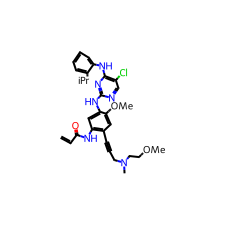 C=CC(=O)Nc1cc(Nc2ncc(Cl)c(Nc3ccccc3C(C)C)n2)c(OC)cc1C#CCN(C)CCOC